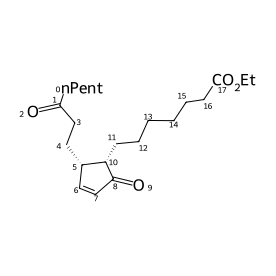 CCCCCC(=O)CC[C@H]1C=CC(=O)[C@H]1CCCCCCC(=O)OCC